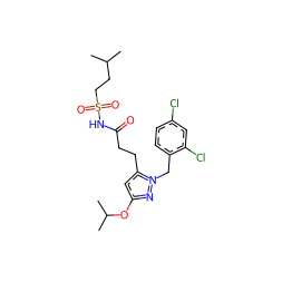 CC(C)CCS(=O)(=O)NC(=O)CCc1cc(OC(C)C)nn1Cc1ccc(Cl)cc1Cl